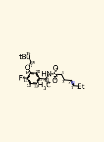 CC/C=C/CCS(=O)(=O)N[C@H](C)c1ccc(F)c(OCC(C)(C)C)c1